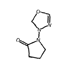 O=C1CCCN1N1COC=N1